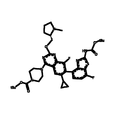 CN1CCC[C@H]1COc1nc(N2CCN(C(=O)OC(C)(C)C)CC2)c2cc(C3CC3)c(-c3ccc(F)c4sc(NC(=O)OC(C)(C)C)nc34)c(F)c2n1